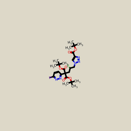 CC(C)(C)OC(=O)c1cn(CC(F)CC(C(=O)OC(C)(C)C)(C(=O)OC(C)(C)C)c2ccc(I)nn2)nn1